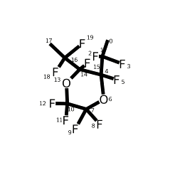 CC(F)(F)C1(F)OC(F)(F)C(F)(F)OC1(F)C(C)(F)F